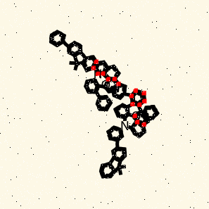 CC1(C)c2ccccc2-c2cc(-c3cccc(N(c4cccc(-c5ccccc5)c4-c4ccccc4-c4cccc(-c5ccc6oc7c(N(c8ccc9c(c8)C(C)(C)c8cc(-c%10ccccc%10)ccc8-9)c8cccc(-c9ccccc9)c8-c8ccccc8-c8ccccc8)cccc7c6c5)c4)c4cccc5c4oc4ccccc45)c3)ccc21